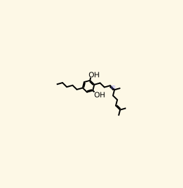 CCCCCc1cc(O)c(CC/C=C(/C)CCC=C(C)C)c(O)c1